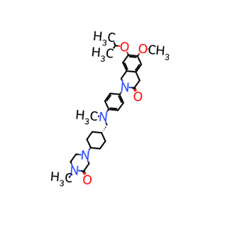 COc1cc2c(cc1OC(C)C)CN(c1ccc(N(C)C[C@H]3CC[C@H](N4CCN(C)C(=O)C4)CC3)cc1)C(=O)C2